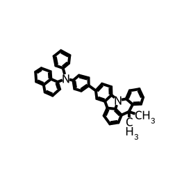 CC1(C)c2ccccc2-n2c3ccc(-c4ccc(N(c5ccccc5)c5cccc6ccccc56)cc4)cc3c3cccc1c32